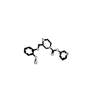 CCOc1ccccc1OCC1CN(C(=O)Oc2cccnc2)CCO1